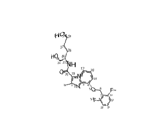 Cc1nc2c(OCc3c(F)cccc3F)cccn2c1C(=O)N[C@@H](CO)CCCO